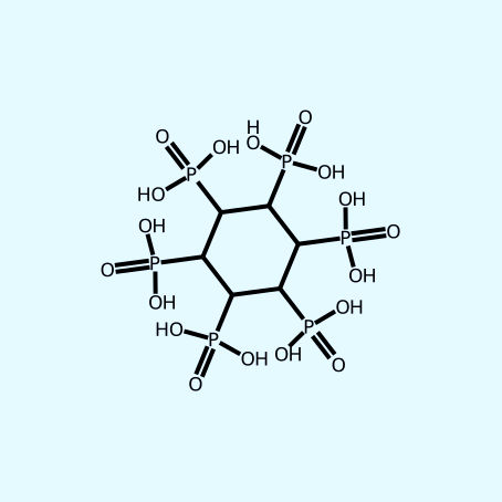 O=P(O)(O)C1C(P(=O)(O)O)C(P(=O)(O)O)C(P(=O)(O)O)C(P(=O)(O)O)C1P(=O)(O)O